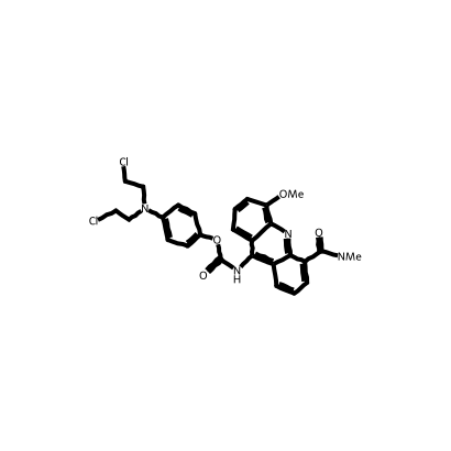 CNC(=O)c1cccc2c(NC(=O)Oc3ccc(N(CCCl)CCCl)cc3)c3cccc(OC)c3nc12